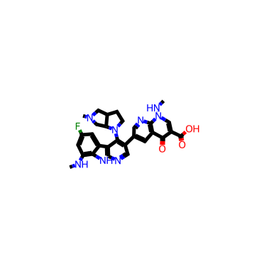 CNc1cc(F)cc2c1[nH]c1ncc(-c3cnc4c(c3)c(=O)c(C(=O)O)cn4NC)c(N3CCC4CN(C)CC43)c12